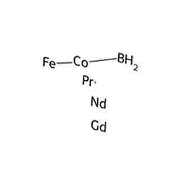 [BH2][Co][Fe].[Gd].[Nd].[Pr]